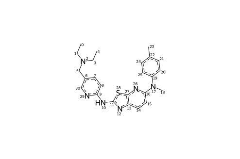 CCN(CC)Cc1ccc(Nc2nc3ccc(N(C)c4ccc(C)cc4)nc3s2)nc1